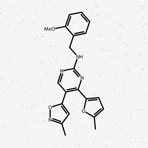 COc1ccccc1CNc1ncc(-c2cc(C)no2)c(-c2ccc(C)o2)n1